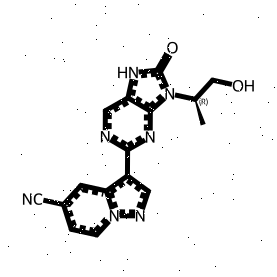 C[C@H](CO)n1c(=O)[nH]c2cnc(-c3cnn4ccc(C#N)cc34)nc21